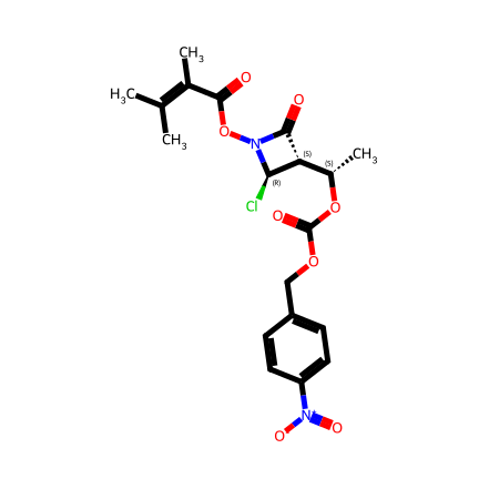 CC(C)=C(C)C(=O)ON1C(=O)[C@H]([C@H](C)OC(=O)OCc2ccc([N+](=O)[O-])cc2)[C@H]1Cl